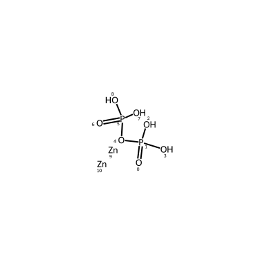 O=P(O)(O)OP(=O)(O)O.[Zn].[Zn]